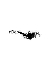 CCCCCCCCCCCCCCCCCCCC(=O)OCOC(=O)N1c2ccccc2NC(N2CCN(C)CC2)=C2C=C(C)SC21C